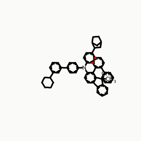 CC1(C)c2ccccc2-c2ccc(N(c3ccc(-c4cccc(C5CCCCC5)c4)cc3)c3ccc(C4CC5CCC4C5)cc3)c(-c3ccccc3-c3ccccc3)c21